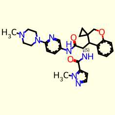 CN1CCN(c2ccc(NC(=O)[C@@H](NC(=O)c3ccnn3C)C3c4ccccc4OCC34CC4)cn2)CC1